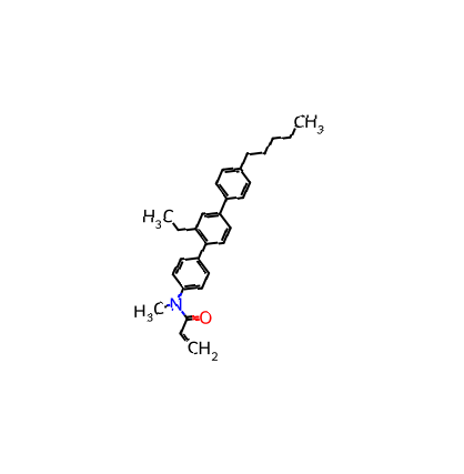 C=CC(=O)N(C)c1ccc(-c2ccc(-c3ccc(CCCCC)cc3)cc2CC)cc1